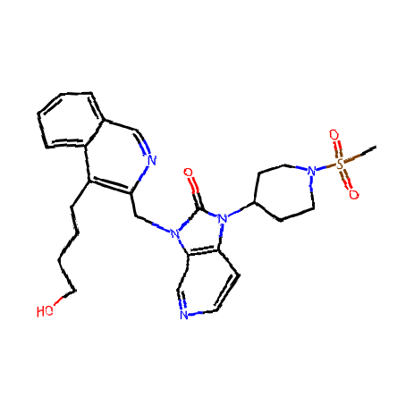 CS(=O)(=O)N1CCC(n2c(=O)n(Cc3ncc4ccccc4c3CCCCO)c3cnccc32)CC1